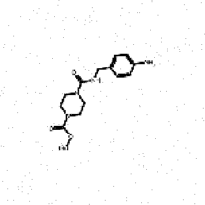 CC(C)(C)OC(=O)N1CCN(C(=O)NCc2ccc(N)cc2)CC1